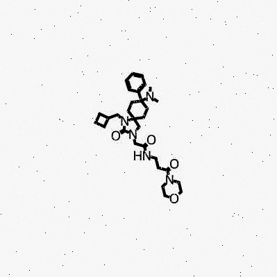 CN(C)C1(c2ccccc2)CCC2(CC1)CN(CC(=O)NCCC(=O)N1CCOCC1)C(=O)N2CC1CCC1